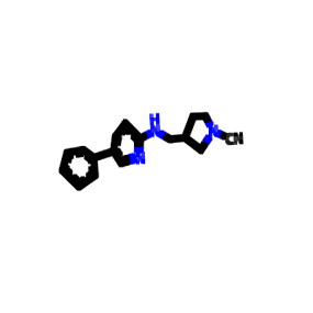 N#CN1CCC(CNc2ccc(-c3ccccc3)cn2)C1